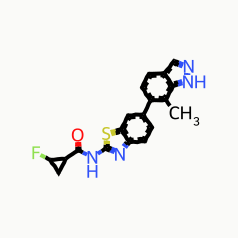 Cc1c(-c2ccc3nc(NC(=O)C4CC4F)sc3c2)ccc2cn[nH]c12